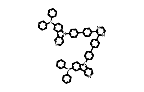 c1ccc(N(c2ccccc2)c2ccc3c(c2)c2cnccc2n3-c2ccc(-c3ccc(-c4nccnc4-c4ccc(-c5ccc(-n6c7ccncc7c7cc(N(c8ccccc8)c8ccccc8)ccc76)cc5)cc4)cc3)cc2)cc1